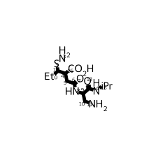 CCC(SN)C(CC(=O)NC(CN)C(=O)NC(C)C)C(=O)O